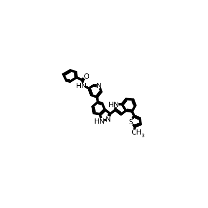 Cc1ccc(-c2cccc3[nH]c(-c4n[nH]c5ccc(-c6cncc(NC(=O)c7ccccc7)c6)cc45)cc23)s1